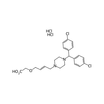 Cl.Cl.O=C(O)COCC=CCN1CCN(C(c2ccc(Cl)cc2)c2ccc(Cl)cc2)CC1